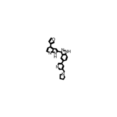 c1cc(-c2ccoc2)c2cc(-c3n[nH]c4ccc(-c5cncc(CN6CCCC6)c5)cc34)[nH]c2n1